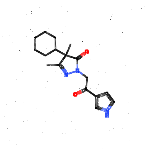 CC1=NN(CC(=O)c2cc[nH]c2)C(=O)C1(C)C1CCCCC1